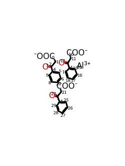 O=C([O-])CC(=O)c1ccccc1.O=C([O-])CC(=O)c1ccccc1.O=C([O-])CC(=O)c1ccccc1.[Al+3]